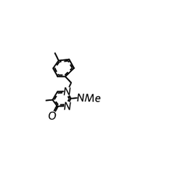 CNc1nc(=O)c(C)cn1Cc1ccc(C)cc1